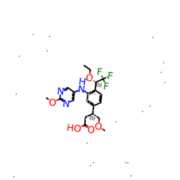 CCO[C@@H](c1ccc([C@@H](COC)CC(=O)O)cc1Nc1cnc(OC)nc1)C(F)(F)F